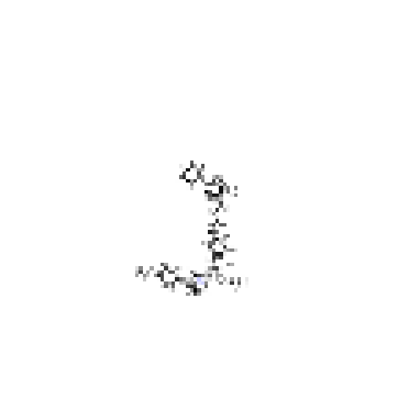 CCc1oc(-c2ccccc2)nc1CCCOc1ccc(C[C@H](N/C(C)=C/C(O)c2ccc(C(F)(F)F)cc2)C(=O)O)cc1